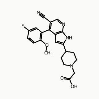 COc1ccc(F)cc1-c1c(C#N)cnc2[nH]c(C3CCN(CC(=O)O)CC3)cc12